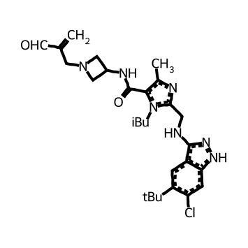 C=C(C=O)CN1CC(NC(=O)c2c(C)nc(CNc3n[nH]c4cc(Cl)c(C(C)(C)C)cc34)n2C(C)CC)C1